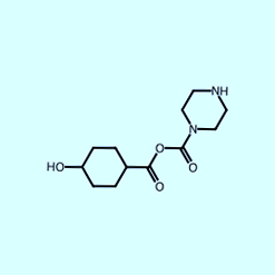 O=C(OC(=O)N1CCNCC1)C1CCC(O)CC1